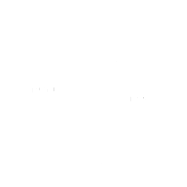 CCCCCCCCc1c2cc3ccccc3cc2c(CCCCCCCC)c2cc3ccccc3cc12